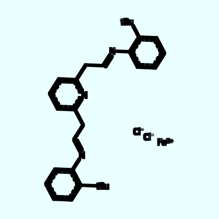 CC(C)(C)c1ccccc1N=CCc1cccc(CC=Nc2ccccc2C(C)(C)C)n1.[Cl-].[Cl-].[Fe+2]